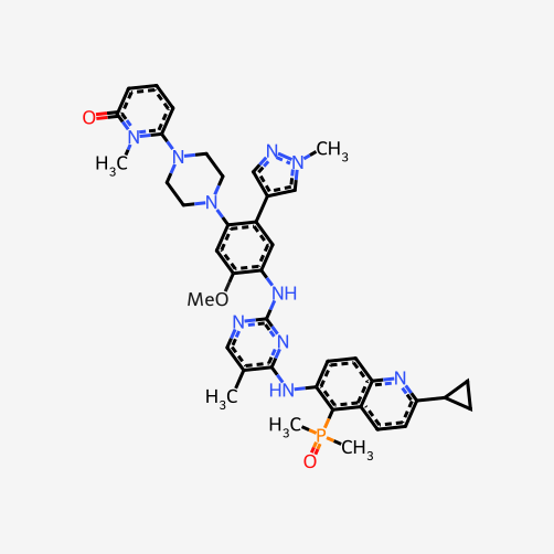 COc1cc(N2CCN(c3cccc(=O)n3C)CC2)c(-c2cnn(C)c2)cc1Nc1ncc(C)c(Nc2ccc3nc(C4CC4)ccc3c2P(C)(C)=O)n1